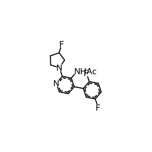 CC(=O)Nc1c(-c2cc(F)ccc2F)ccnc1N1CCC(F)C1